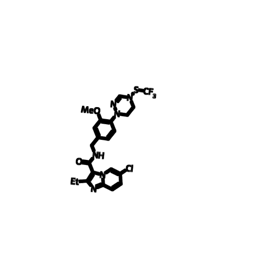 CCc1nc2ccc(Cl)cn2c1C(=O)NCc1ccc(N2CCN(SC(F)(F)F)C=N2)c(OC)c1